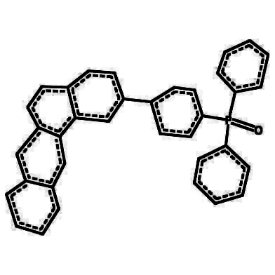 O=P(c1ccccc1)(c1ccccc1)c1ccc(-c2ccc3ccc4cc5ccccc5cc4c3c2)cc1